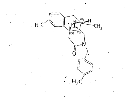 Cc1ccc(CN2C[C@H]3[C@H]4Cc5ccc(C)cc5[C@@]3(CCN4C)CC2=O)cc1